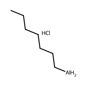 CCCCCC[CH2][AlH2].Cl